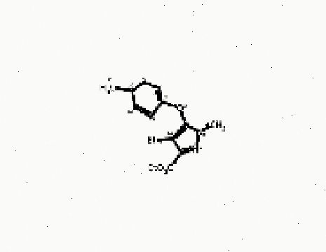 CCOC(=O)c1nn(C)c(OC2=CCC(C)C=C2)c1CC